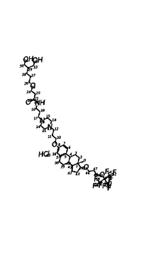 C[C@]12CCC3c4ccc(OCCCN5CCN(CCCNC(=O)CCOCCCC(CO)CO)CC5)cc4CCC3C1CC[C@@H]2OCCCOC(C(F)(F)F)(C(F)(F)F)C(F)(F)F.Cl